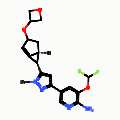 CC(C)n1nc(-c2cnc(N)c(OC(F)F)c2)cc1[C@@H]1C2=CC(OC3COC3)C[C@H]21